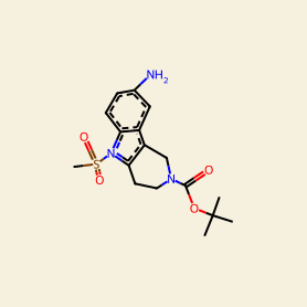 CC(C)(C)OC(=O)N1CCc2c(c3cc(N)ccc3n2S(C)(=O)=O)C1